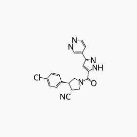 N#C[C@H]1CN(C(=O)c2cc(-c3ccnnc3)n[nH]2)C[C@@H]1c1ccc(Cl)cc1